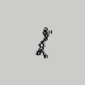 CCOCCn1c(CN2CCCN(CCCOc3ccc4c(c3)SCC(=O)N4)CC2)nc2ccccc21